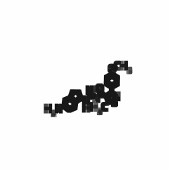 COc1ccc(-c2nsc(C)c2C(=O)/N=C(\N)NC2CCc3cc(N)ccc32)cc1